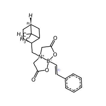 CC1(C)C2C[C@H]1CCC2C[N+]12CC(=O)O[B-]1(/C=C/c1ccccc1)OC(=O)C2